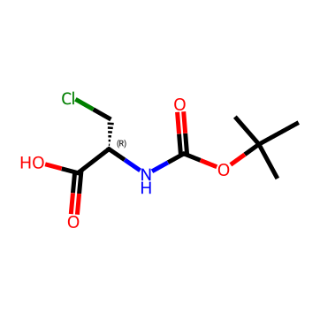 CC(C)(C)OC(=O)N[C@@H](CCl)C(=O)O